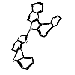 c1ccc2c(c1)ccc1c2c2c3ccccc3ccc2n1-c1nc2c(ccc3sc4ccccc4c32)s1